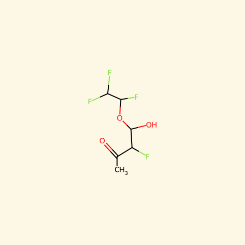 CC(=O)C(F)C(O)OC(F)C(F)F